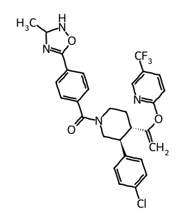 C=C(Oc1ccc(C(F)(F)F)cn1)[C@H]1CCN(C(=O)c2ccc(C3=NC(C)NO3)cc2)C[C@@H]1c1ccc(Cl)cc1